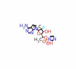 CC(OP(=O)(O)n1ccnc1)[C@H]1OC(n2ccc3c(N)ncnc32)[C@](C)(F)[C@@H]1O